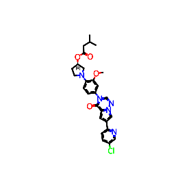 COc1cc(-n2cnn3cc(-c4ccc(Cl)cn4)cc3c2=O)ccc1N1CC[C@@H](OC(=O)CC(C)C)C1